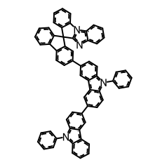 c1ccc(-n2c3ccccc3c3cc(-c4ccc5c(c4)c4cc(-c6ccc7c(c6)C6(c8ccccc8-7)c7ccccc7-n7c6nc6ccccc67)ccc4n5-c4ccccc4)ccc32)cc1